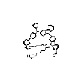 CCCCCCCCC1(CCCCCCCC)c2cc(C=O)ccc2-c2ccc(-n3c4ccccc4c4cc(N(c5ccccc5)c5ccc(-c6ccccc6)cc5)ccc43)cc21